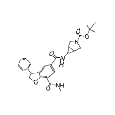 CNC(=O)c1cc(C(=O)NC2C3CN(C(=O)OC(C)(C)C)CC32)cc2c1OCC2c1ccccc1